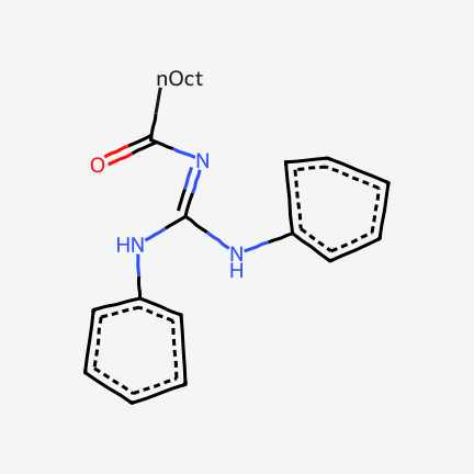 CCCCCCCCC(=O)N=C(Nc1ccccc1)Nc1ccccc1